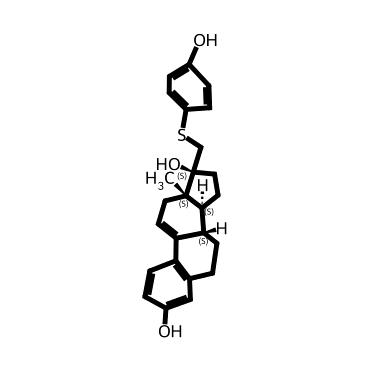 C[C@]12CC=C3c4ccc(O)cc4CC[C@H]3[C@@H]1CC[C@@]2(O)CSc1ccc(O)cc1